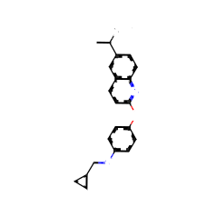 CC(=O)NC(C)c1ccc2nc(Oc3ccc(NCC4CC4)cc3)ccc2c1